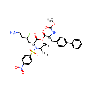 COC(=O)N[C@@H](Cc1ccc(-c2ccccc2)cc1)C(=O)OC(=O)[C@H](CC(F)CCN)N(C(C)C)S(=O)(=O)c1ccc([N+](=O)[O-])cc1